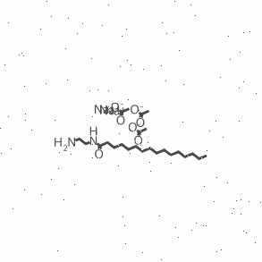 CC(=O)[O-].CC(=O)[O-].CC(=O)[O-].CCCCCCCCCCCCCCCC(=O)NCCN.[Na+].[Na+].[Na+]